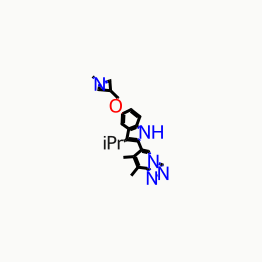 Cc1c(-c2[nH]c3ccc(OCC4CN(C)C4)cc3c2C(C)C)cn2cnnc2c1C